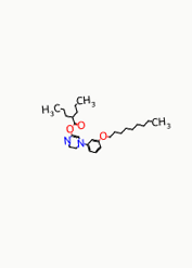 CCCCCCCCCOc1cccc(N2C=C(OC(=O)C(CCC)CCC)N=CC2)c1